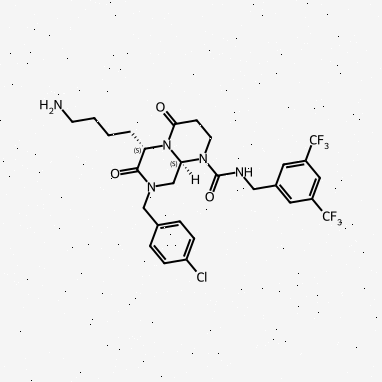 NCCCC[C@H]1C(=O)N(Cc2ccc(Cl)cc2)C[C@@H]2N(C(=O)NCc3cc(C(F)(F)F)cc(C(F)(F)F)c3)CCC(=O)N21